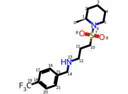 C[C@H]1CCCCN1S(=O)(=O)CCCNCc1ccc(C(F)(F)F)cc1